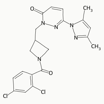 Cc1cc(C)n(-c2ccc(=O)n(CC3CN(C(=O)c4ccc(Cl)cc4Cl)C3)n2)n1